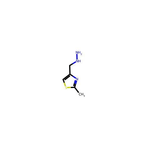 Cc1nc(CNN)cs1